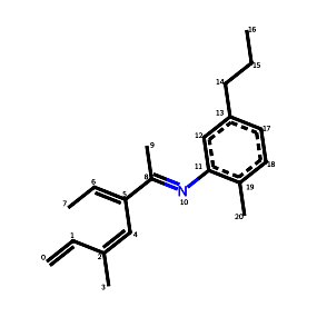 C=C\C(C)=C/C(=C\C)C(/C)=N/c1cc(CCC)ccc1C